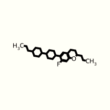 CCCC1CCC(C2CCC(c3cc4c(cc3F)OC(CCC)CC4)CC2)CC1